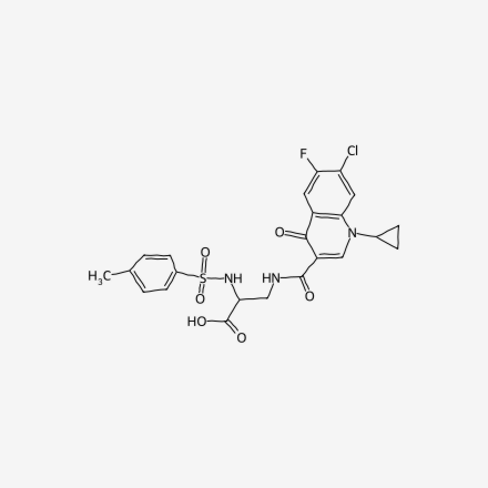 Cc1ccc(S(=O)(=O)NC(CNC(=O)c2cn(C3CC3)c3cc(Cl)c(F)cc3c2=O)C(=O)O)cc1